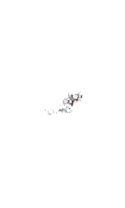 O=C(NCCc1ccc(Cl)cc1)c1cccc(CN2C(=O)C3(COc4cc5c(cc43)OCO5)c3ccccc32)c1